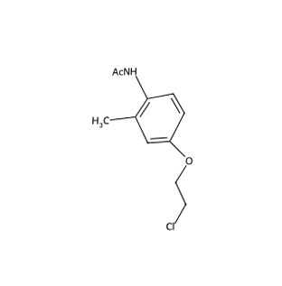 CC(=O)Nc1ccc(OCCCl)cc1C